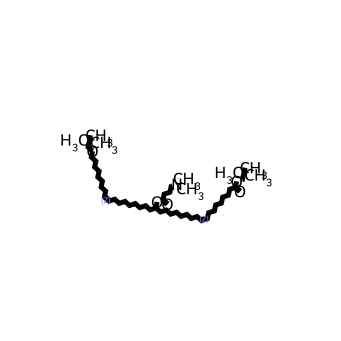 CN(C)CCCC(=O)OC(CCCCCCCC/C=C\CCCCCCCCOCC(C)(C)C)CCCCCCCC/C=C\CCCCCCCC(=O)OCC(C)(C)C